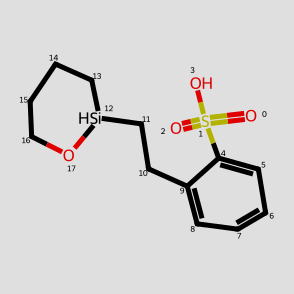 O=S(=O)(O)c1ccccc1CC[SiH]1CCCCO1